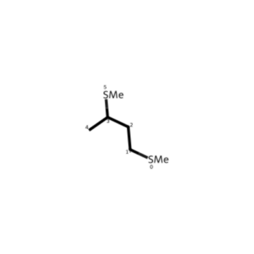 CS[CH]CC(C)SC